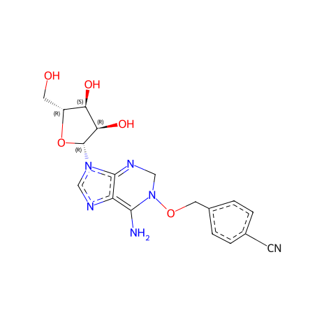 N#Cc1ccc(CON2CN=c3c(ncn3[C@@H]3O[C@H](CO)[C@@H](O)[C@H]3O)=C2N)cc1